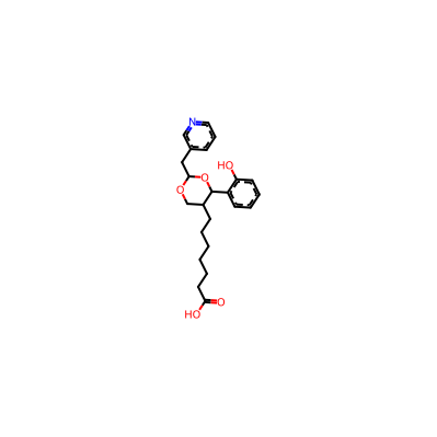 O=C(O)CCCCCCC1COC(Cc2cccnc2)OC1c1ccccc1O